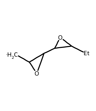 [CH2]C1OC1C1OC1CC